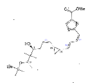 COC(=O)c1csc(/C=C\C=C\[C@@H]2C[C@@H]2/C=C\C[C@H](O)C(C)(C)[C@H](C)O[Si](C)(C)C(C)(C)C)n1